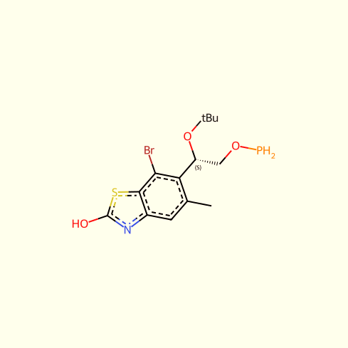 Cc1cc2nc(O)sc2c(Br)c1[C@@H](COP)OC(C)(C)C